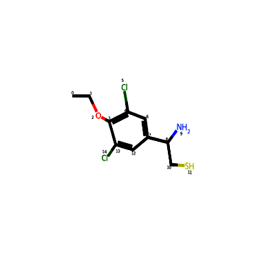 CCOc1c(Cl)cc(C(N)CS)cc1Cl